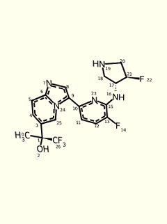 C[C@@](O)(c1ccc2ncc(-c3ccc(F)c(N[C@@H]4CNC[C@H]4F)n3)n2c1)C(F)(F)F